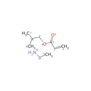 C=CC(=O)OCC(C)C.CCN